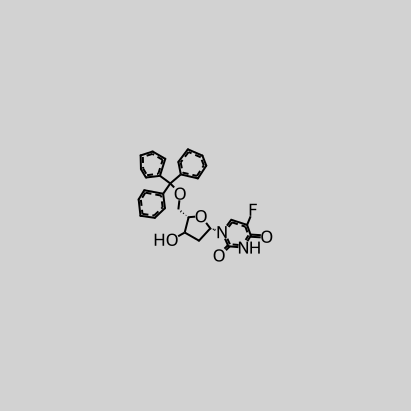 O=c1[nH]c(=O)n([C@@H]2CC(O)[C@H](COC(c3ccccc3)(c3ccccc3)c3ccccc3)O2)cc1F